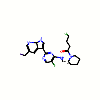 O=C(CCCCl)N1CCCC[C@@H]1CNc1nc(C2=CNC3NC=C(CI)C=C23)ncc1F